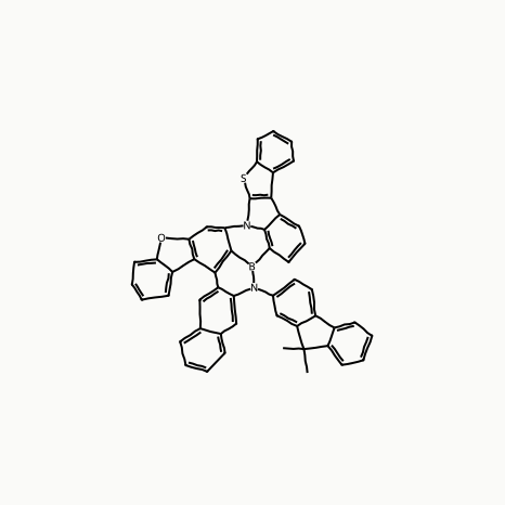 CC1(C)c2ccccc2-c2ccc(N3B4c5c(cc6oc7ccccc7c6c5-c5cc6ccccc6cc53)-n3c5sc6ccccc6c5c5cccc4c53)cc21